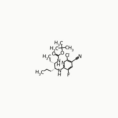 CCC[C@@H](Nc1nc(Cl)c(C#N)cc1F)[C@H](CC)NC(=O)OC(C)(C)C